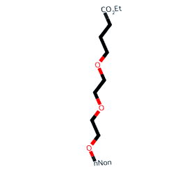 CCCCCCCCCOCCOCCOCCCC(=O)OCC